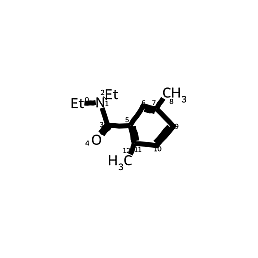 CCN(CC)C(=O)c1cc(C)ccc1C